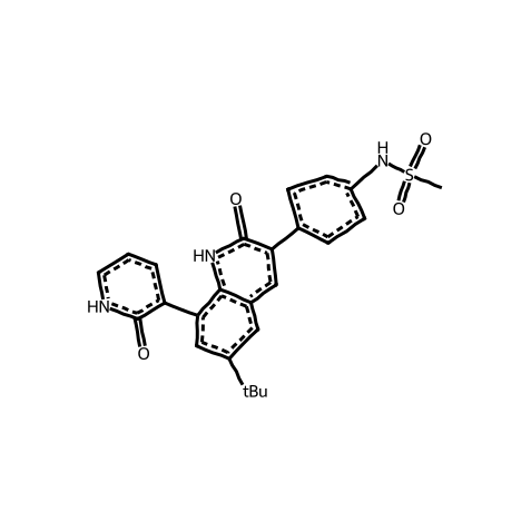 CC(C)(C)c1cc(-c2ccc[nH]c2=O)c2[nH]c(=O)c(-c3ccc(NS(C)(=O)=O)cc3)cc2c1